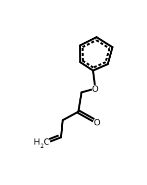 C=CCC(=O)COc1ccccc1